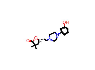 CC1(C)C[C@@H](CCN2CCN(c3cccc(O)c3)CC2)OC1=O